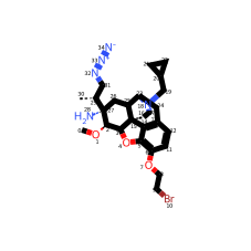 CO[C@H]1C2Oc3c(OCCBr)ccc4c3[C@@]23CCN(CC2CC2)C(C4)C3C[C@]1(N)[C@H](C)CN=[N+]=[N-]